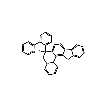 CC1(c2ccccc2-c2ccccn2)CN2C=CC=CC2c2c1ccc1c2oc2ccccc21